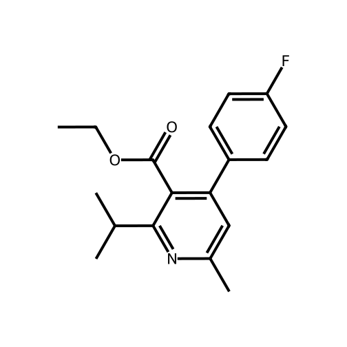 CCOC(=O)c1c(-c2ccc(F)cc2)cc(C)nc1C(C)C